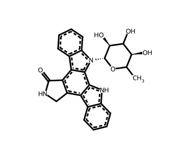 CC1O[C@H](n2c3ccccc3c3c4c(c5c6ccccc6[nH]c5c32)CNC4=O)[C@@H](O)C(O)[C@H]1O